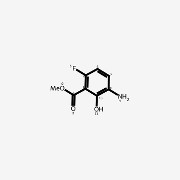 COC(=O)c1c(F)ccc(N)c1O